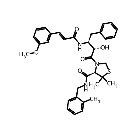 COc1cccc(/C=C/C(=O)N[C@@H](Cc2ccccc2)[C@H](O)C(=O)N2CSC(C)(C)[C@H]2C(=O)NCc2ccccc2C)c1